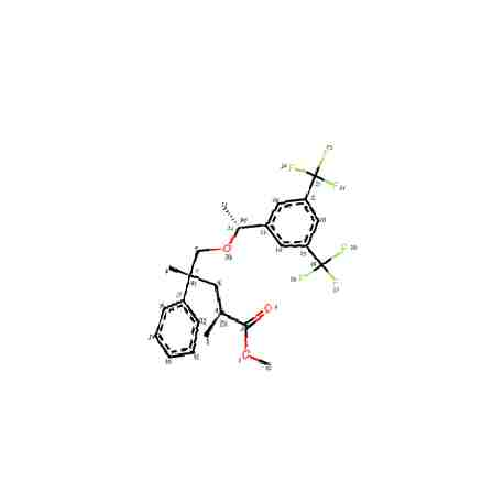 COC(=O)[C@@H](C)C[C@@](C)(CO[C@H](C)c1cc(C(F)(F)F)cc(C(F)(F)F)c1)c1ccccc1